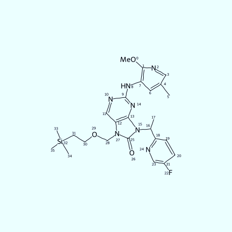 COc1ncc(C)cc1Nc1ncc2c(n1)n(C(C)c1ccc(F)cn1)c(=O)n2COCC[Si](C)(C)C